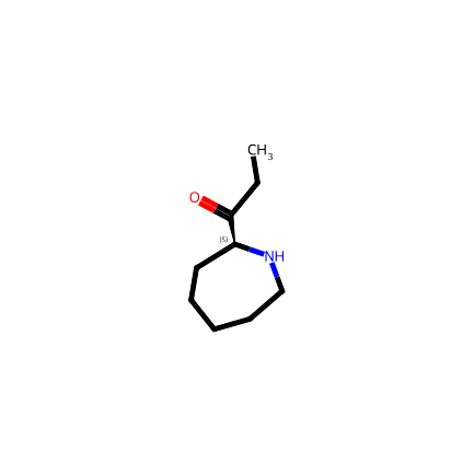 CCC(=O)[C@@H]1CCCCCN1